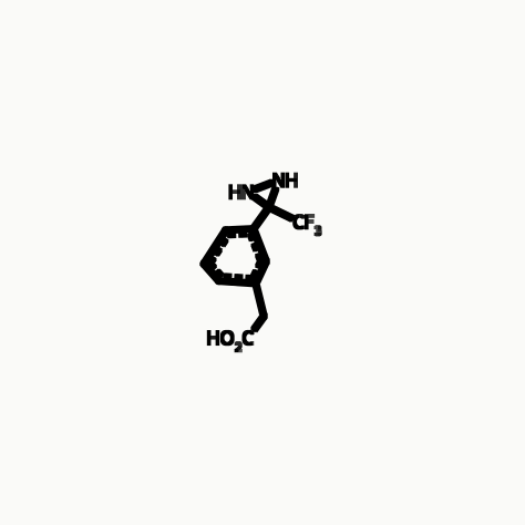 O=C(O)Cc1cccc(C2(C(F)(F)F)NN2)c1